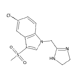 CS(=O)(=O)c1cn(CC2=NCCN2)c2ccc(Cl)cc12